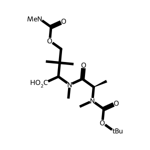 CNC(=O)OCC(C)(C)C(C(=O)O)N(C)C(=O)[C@@H](C)N(C)C(=O)OC(C)(C)C